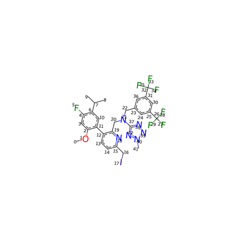 COc1cc(F)c(C(C)C)cc1-c1ccc(CI)nc1CN(Cc1cc(C(F)(F)F)cc(C(F)(F)F)c1)c1nnn(C)n1